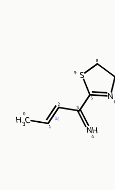 C/C=C/C(=N)C1=NCCS1